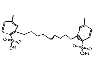 Cc1ccc(S(=O)(=O)O)c(CCCCCCCCCc2cc(C)ccc2S(=O)(=O)O)c1